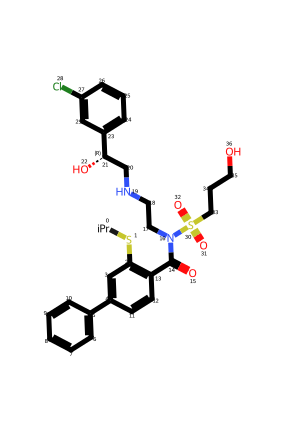 CC(C)Sc1cc(-c2ccccc2)ccc1C(=O)N(CCNC[C@H](O)c1cccc(Cl)c1)S(=O)(=O)CCCO